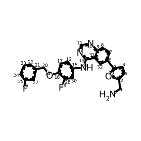 NCc1ccc(-c2ccc3ncnc(Nc4ccc(OCc5cccc(F)c5)c(F)c4)c3c2)o1